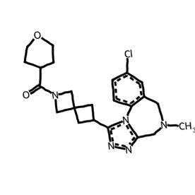 CN1Cc2cc(Cl)ccc2-n2c(nnc2C2CC3(C2)CN(C(=O)C2CCOCC2)C3)C1